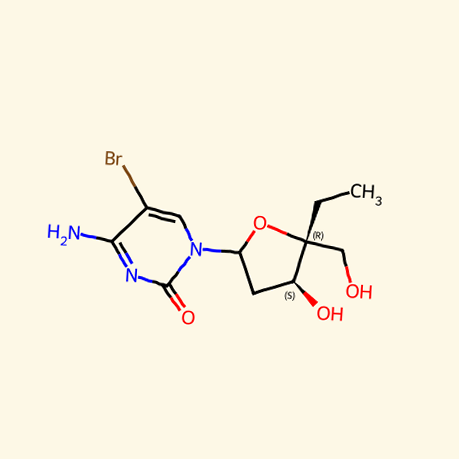 CC[C@]1(CO)OC(n2cc(Br)c(N)nc2=O)C[C@@H]1O